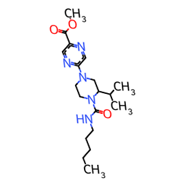 CCCCCNC(=O)N1CCN(c2cnc(C(=O)OC)cn2)CC1C(C)C